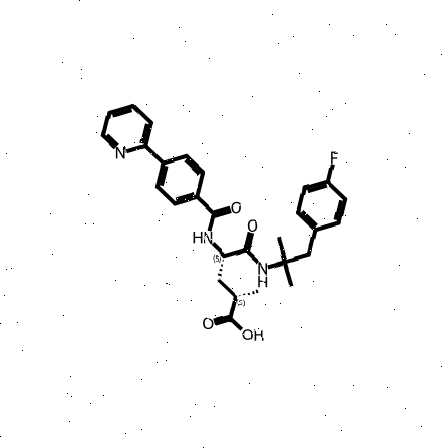 C[C@@H](C[C@H](NC(=O)c1ccc(-c2ccccn2)cc1)C(=O)NC(C)(C)Cc1ccc(F)cc1)C(=O)O